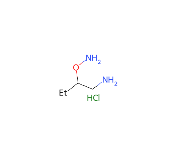 CCC(CN)ON.Cl